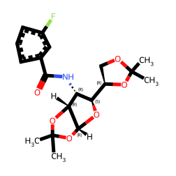 CC1(C)O[C@H]2O[C@H]([C@H]3COC(C)(C)O3)[C@@H](NC(=O)c3cccc(F)c3)[C@H]2O1